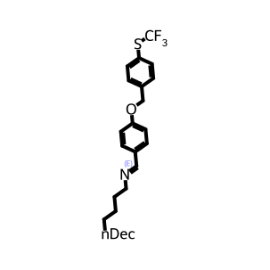 CCCCCCCCCCCCCC/N=C/c1ccc(OCc2ccc(SC(F)(F)F)cc2)cc1